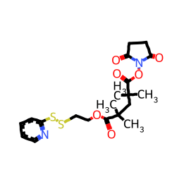 CC(C)(CC(C)(C)C(=O)ON1C(=O)CCC1=O)C(=O)OCCSSc1ccccn1